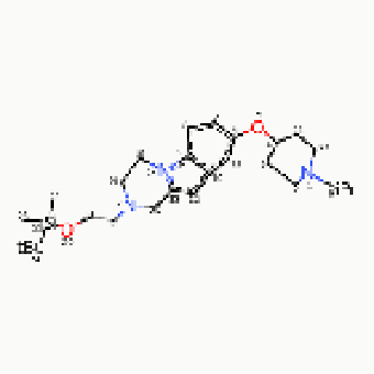 CC(C)N1CCC(Oc2ccc3c(c2)cc2n3CCN(CCO[Si](C)(C)C(C)(C)C)C2)CC1